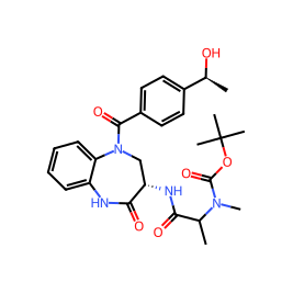 CC(C(=O)N[C@H]1CN(C(=O)c2ccc([C@H](C)O)cc2)c2ccccc2NC1=O)N(C)C(=O)OC(C)(C)C